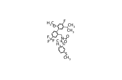 COc1cc(F)c(C(C)C)cc1-c1ccc(C(F)(F)F)cc1CN1C(=O)O[C@H](c2cccc(SC)c2)[C@@H]1C